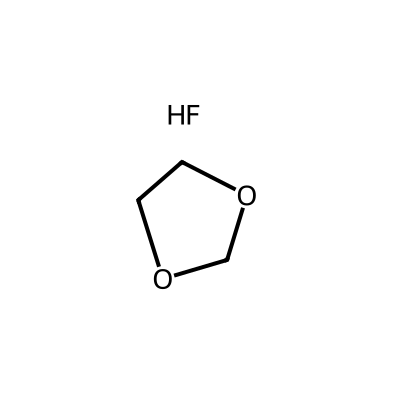 C1COCO1.F